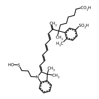 C=C(/C=C/C=C/C=C/C=C1/N(CCCSO)c2ccccc2C1(C)C)C(C)(CCCCCC(=O)O)c1cc(S(=O)(=O)O)ccc1C